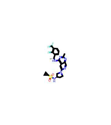 Cc1nc(N[C@H](C)c2cccc(C(F)F)c2F)c2cc(N3CC[C@@H](NS(=O)(=O)C4CC4)C3)ncc2n1